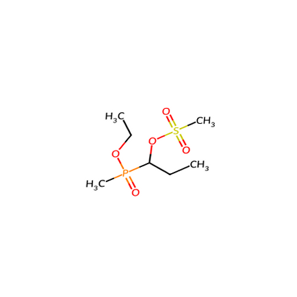 CCOP(C)(=O)C(CC)OS(C)(=O)=O